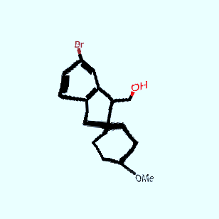 COC1CCC2(CC1)Cc1ccc(Br)cc1C2CO